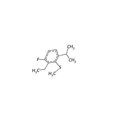 CCc1c(F)ccc(C(C)C)c1SC